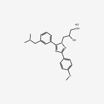 COc1ccc(-c2nc(-c3cccc(CN(C)C)c3)n(CC(O)CO)n2)cc1.Cl